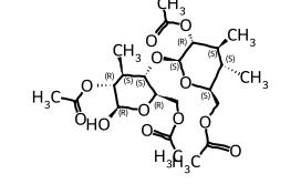 CC(=O)OC[C@H]1O[C@@H](O[C@H]2[C@H](C)[C@@H](OC(C)=O)[C@H](O)O[C@@H]2COC(C)=O)[C@H](OC(C)=O)[C@@H](C)[C@@H]1C